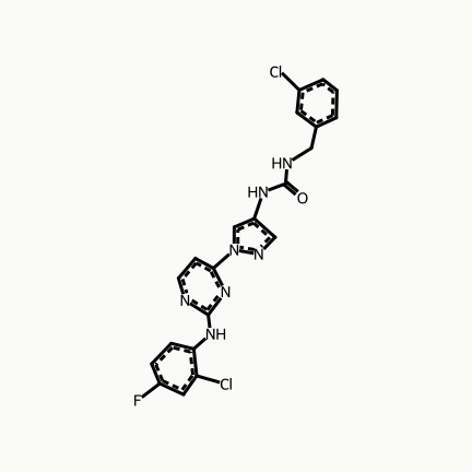 O=C(NCc1cccc(Cl)c1)Nc1cnn(-c2ccnc(Nc3ccc(F)cc3Cl)n2)c1